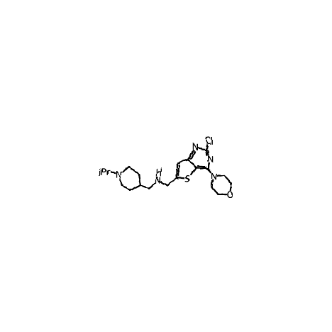 CC(C)N1CCC(CNCc2cc3nc(Cl)nc(N4CCOCC4)c3s2)CC1